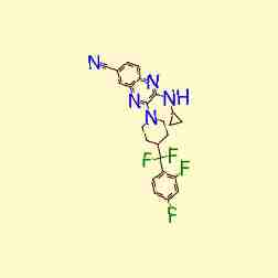 N#Cc1ccc2nc(NC3CC3)c(N3CCC(C(F)(F)c4ccc(F)cc4F)CC3)nc2c1